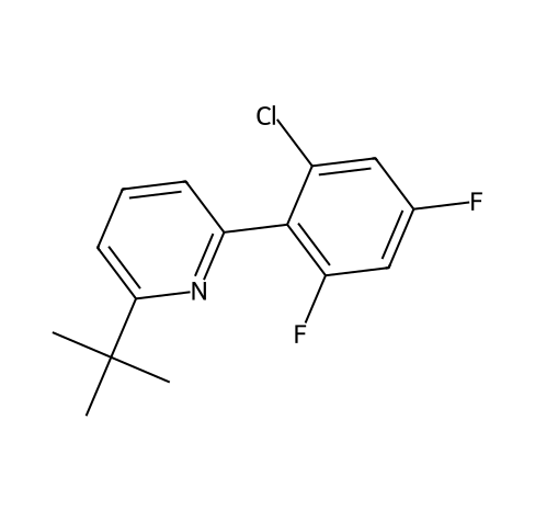 CC(C)(C)c1cccc(-c2c(F)cc(F)cc2Cl)n1